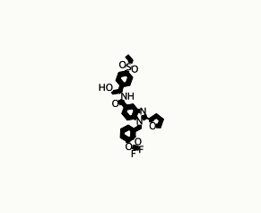 CCS(=O)(=O)c1ccc(C(CO)NC(=O)c2ccc3c(c2)nc([C@H]2CCCO2)n3Cc2cccc3c2OC(F)(F)O3)cc1